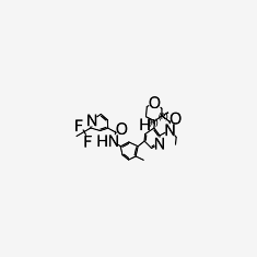 CCN1C(=O)[C@@]2(C)COCC[C@@H]2c2cc(-c3cc(NC(=O)c4ccnc(C(C)(F)F)c4)ccc3C)cnc21